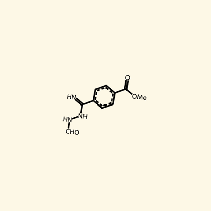 COC(=O)c1ccc(C(=N)NNC=O)cc1